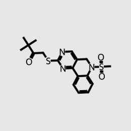 CC(C)(C)C(=O)CSc1ncc2c(n1)-c1ccccc1N(S(C)(=O)=O)C2